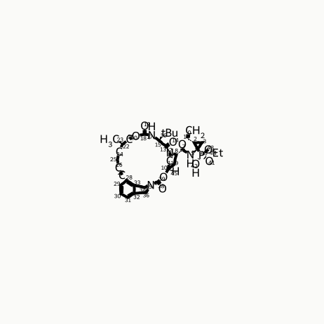 C=C[C@@H]1C[C@]1(NC(=O)[C@@H]1C[C@@H]2CN1C(=O)[C@H](C(C)(C)C)NC(=O)OC[C@H](C)CCCCc1cccc3c1CN(C3)C(=O)O2)P(=O)(O)OCC